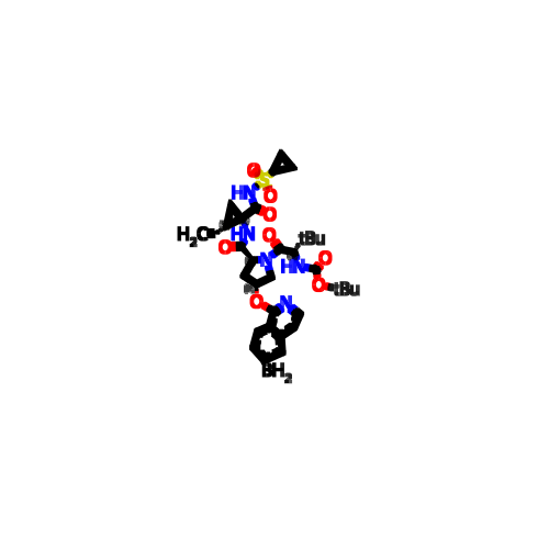 Bc1ccc2c(O[C@@H]3C[C@@H](C(=O)N[C@]4(C(=O)NS(=O)(=O)C5CC5)C[C@H]4C=C)N(C(=O)[C@@H](NC(=O)OC(C)(C)C)C(C)(C)C)C3)nccc2c1